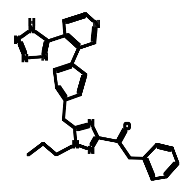 CCCn1nc(C(=O)Cc2ccccc2)nc1Cc1ccc(-c2cnccc2-c2nnn[nH]2)cc1